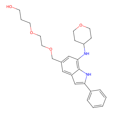 OCCCOCCOCc1cc(NC2CCOCC2)c2[nH]c(-c3ccccc3)cc2c1